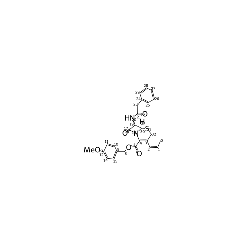 C/C=C\C1=C(C(=O)OCc2ccc(OC)cc2)N2C(=O)[C@@H](NC(=O)Cc3ccccc3)[C@H]2SC1